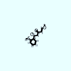 COC=CC(=O)CC(=O)c1ccccc1SC